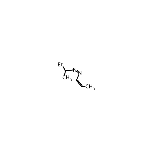 C/C=C\N=N/C(C)CC